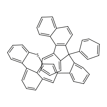 c1ccc(C2(c3ccccc3-c3cc4c5c(cccc5c3)-c3ccccc3S4)c3ccccc3-c3c2ccc2ccccc32)cc1